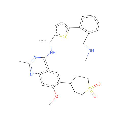 CNCc1ccccc1-c1ccc([C@@H](C)Nc2nc(C)nc3cc(OC)c(C4CCS(=O)(=O)CC4)cc23)s1